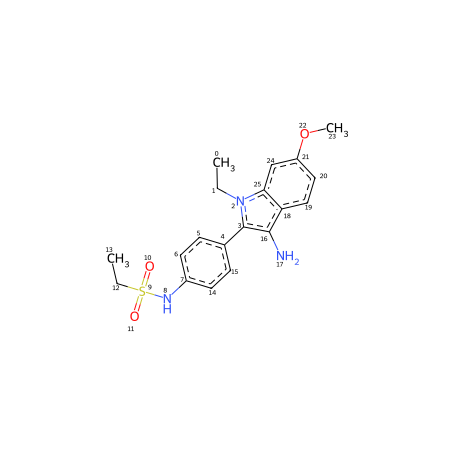 CCn1c(-c2ccc(NS(=O)(=O)CC)cc2)c(N)c2ccc(OC)cc21